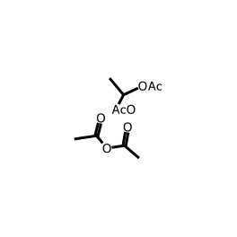 CC(=O)OC(C)=O.CC(=O)OC(C)OC(C)=O